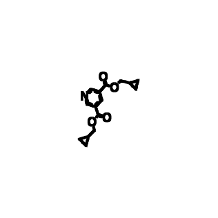 O=C(OCC1CC1)c1cncc(C(=O)OCC2CC2)c1